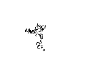 COc1ccc2ncc(Cl)c([C@H](F)CCC3(C(=O)O)CCN(CCSc4cccc(C(F)(F)F)c4)CC3)c2c1